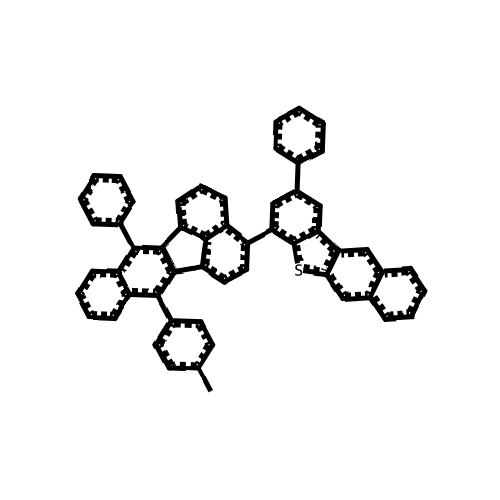 Cc1ccc(-c2c3c(c(-c4ccccc4)c4ccccc24)-c2cccc4c(-c5cc(-c6ccccc6)cc6c5sc5cc7ccccc7cc56)ccc-3c24)cc1